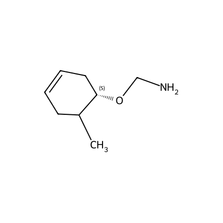 CC1CC=CC[C@@H]1OCN